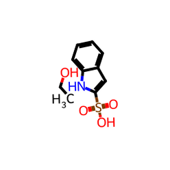 CCO.O=S(=O)(O)c1cc2ccccc2[nH]1